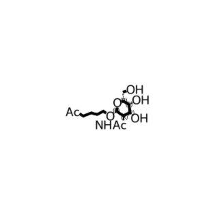 CC(=O)CCCCO[C@@H]1O[C@H](CO)[C@H](O)[C@H](O)[C@H]1NC(C)=O